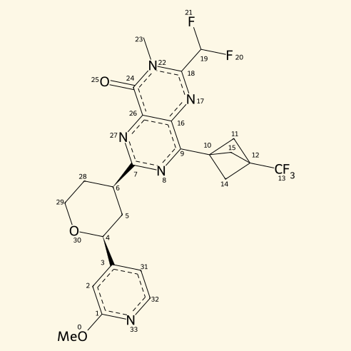 COc1cc([C@@H]2C[C@H](c3nc(C45CC(C(F)(F)F)(C4)C5)c4nc(C(F)F)n(C)c(=O)c4n3)CCO2)ccn1